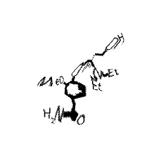 CCN(CC)[C@@H](CCO)Oc1ccc(C(N)=O)cc1OC